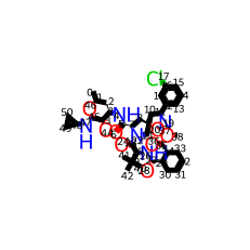 CCC[C@H](NC(=O)[C@@H]1C[C@]2(CC(c3cccc(Cl)c3)=NO2)CN1C(=O)[C@@H](NC(=O)[C@@H]1CC=CC[C@@H]1C(=O)OC)C(C)(C)C)C(=O)C(=O)NC1CC1